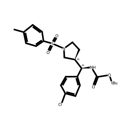 Cc1ccc(S(=O)(=O)N2CC[C@@H]([C@@H](NC(=O)OC(C)(C)C)c3ccc(Cl)cc3)C2)cc1